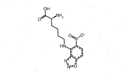 N[C@@H](CCCCNc1c([N+](=O)[O-])ccc2onnc12)C(=O)O